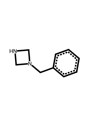 c1ccc(CN2CNC2)cc1